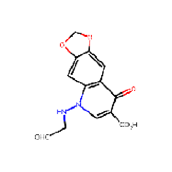 O=CCNn1cc(C(=O)O)c(=O)c2cc3c(cc21)OCO3